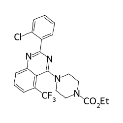 CCOC(=O)N1CCN(c2nc(-c3ccccc3Cl)nc3cccc(C(F)(F)F)c23)CC1